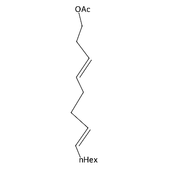 CCCCCCC=CCCC=CCCOC(C)=O